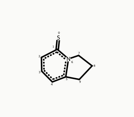 S=c1cccc2n1CCC2